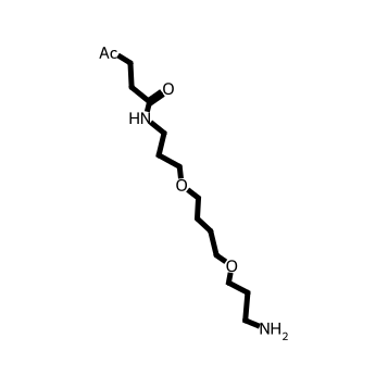 CC(=O)CCC(=O)NCCCOCCCCOCCCN